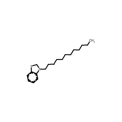 CCCCCCCCCCCCN1CSc2ccccc21